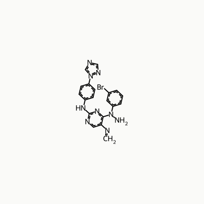 C=Nc1cnc(Nc2ccc(-n3cncn3)cc2)nc1N(N)c1cccc(Br)c1